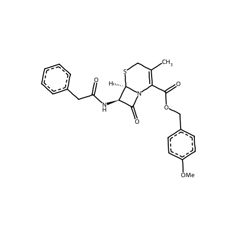 COc1ccc(COC(=O)C2=C(C)CS[C@@H]3[C@H](NC(=O)Cc4ccccc4)C(=O)N23)cc1